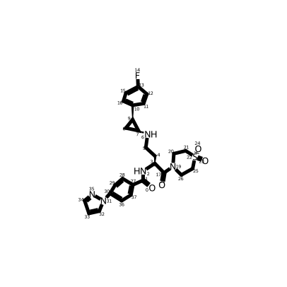 O=C(N[C@@H](CCN[C@@H]1C[C@H]1c1ccc(F)cc1)C(=O)N1CCS(=O)(=O)CC1)c1ccc(-n2cccn2)cc1